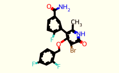 Cc1[nH]c(=O)c(Br)c(OCc2ccc(F)cc2F)c1-c1cc(C(N)=O)ccc1F